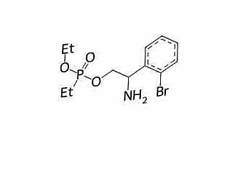 CCOP(=O)(CC)OCC(N)c1ccccc1Br